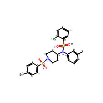 CCc1ccc(S(=O)(=O)N2CCC(N(c3cccc(C)c3)S(=O)(=O)c3ccccc3Cl)CC2)cc1